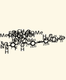 CCC(=N)OC(=N)c1cc(F)c(CN(C[C@H](O)[C@H](Cc2ccc(C#Cc3ccc(N4CCN(C5COC5)C[C@H]4C)nc3)cc2)NC(=O)C(NC(=O)OC)C(C)(C)C(F)(F)F)NC(=O)[C@@H](NC(=O)OC)C(C)(C)C(F)(F)F)c(F)c1